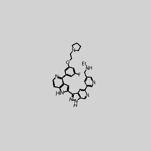 CCNCc1cncc(-c2cc3c(-c4cc5c(-c6cc(F)cc(OCCN7CCCC7)c6)nccc5[nH]4)n[nH]c3cn2)c1